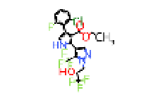 CCOC(=O)c1c(-c2c(F)cccc2Cl)c[nH]c1-c1cnn(CC(O)C(F)(F)F)c1C(F)(F)F